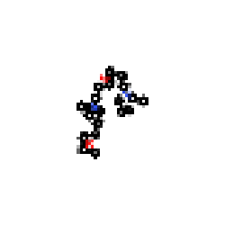 C1=CCCC(c2ccc(N(C3=CC=CC(c4cccc5ccccc45)C3)C3C=CC(C4C=CC=C(c5cccc6oc7c(-c8cccc(-c9ccc(N(c%10cccc(-c%11ccc(-c%12cccc(-c%13cccc%14c%15c(oc%13%14)C(c%13ccccc%13)CC=C%15)c%12)cc%11)c%10)c%10cc%11ccccc%11c%11ccccc%10%11)cc9)c8)cccc7c56)C4)=CC3)cc2)=C1